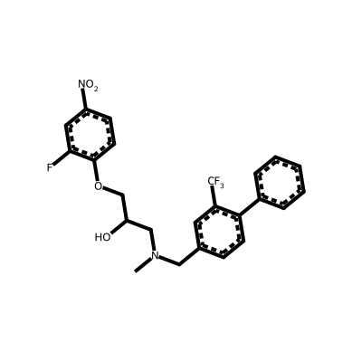 CN(Cc1ccc(-c2ccccc2)c(C(F)(F)F)c1)CC(O)COc1ccc([N+](=O)[O-])cc1F